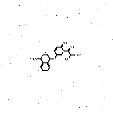 COC(C)C(=N)n1cc(OC2CCC(N)c3ccccc32)ccc1=N